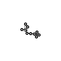 c1ccc(-c2nc(-c3cccc(-c4ccc(-c5ccc6c(c5)-c5ccccc5C65c6ccccc6-c6ccccc65)cc4)c3)nc(-c3cccc4c3oc3ccccc34)n2)cc1